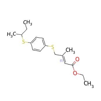 CCOC(=O)/C=C(\C)CSc1ccc(SC(C)CC)cc1